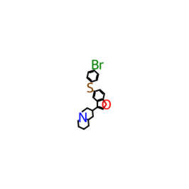 Brc1ccc(Sc2ccc3occ(C4CCN5CCCCC5C4)c3c2)cc1